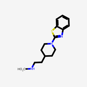 O=C(O)NCCC1CCN(c2nc3ccccc3s2)CC1